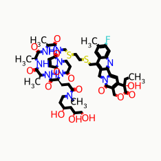 CC[C@@]1(O)C(=O)OCc2c1cc1n(c2=O)Cc2c-1nc1cc(F)c(C)cc1c2CSCCSCNC(=O)[C@H](C)NC(=O)[C@H](C)NC(=O)[C@H](C)NC(=O)[C@H](CCC(=O)N(C)CC[C@@H](O)C[C@H](O)CO)NC(=O)CCN1C(=O)C=CC1=O